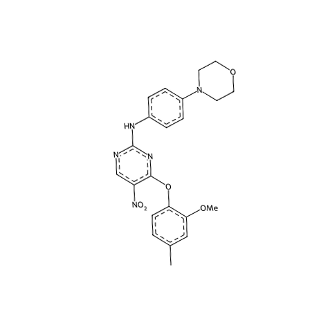 COc1cc(C)ccc1Oc1nc(Nc2ccc(N3CCOCC3)cc2)ncc1[N+](=O)[O-]